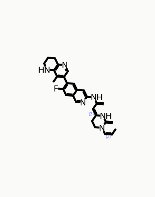 C=C(/C=C1/CCN(/C=C\C)C(=C)N1)Nc1cc2cc(-c3cnc4c(c3C)NCCC4)c(F)cc2cn1